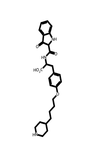 O=C(O)C(Cc1ccc(OCCCCC2CCNCC2)cc1)NC(=O)C1Nc2ccccc2C1=O